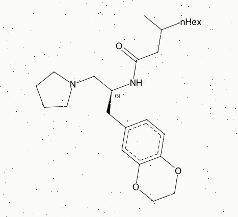 CCCCCCC(C)CC(=O)N[C@@H](Cc1ccc2c(c1)OCCO2)CN1CCCC1